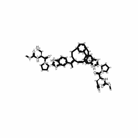 COC(=O)N[C@@H](CN)C(=O)N1CCC[C@H]1c1nc2cc(/C(C)=C3/C=C\[C@H](C)CCc4ccc(cc4-c4ccc5[nH]c([C@@H]6CCCN6C(=O)[C@H](CC#N)NC(=O)OC)nc5c4)CC3)ccc2[nH]1